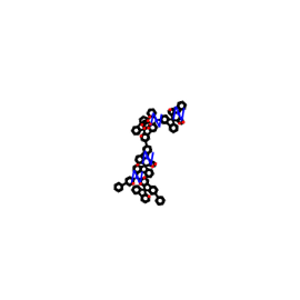 c1ccc(-c2ccc(N(c3ccc4c(c3)C3(c5ccccc5-c5ccccc53)c3cc(-c5ccccc5)ccc3-4)c3cccc4c3-c3ccccc3C43c4ccccc4-n4c5ccc(-c6ccc7c(c6)-c6ccc(N(c8ccc9c(c8)-c8ccccc8C98c9ccccc9-n9c%10ccccc%10c%10cccc8c%109)c8ccccc8-c8ccccc8)cc6C76c7ccccc7-c7ccccc76)cc5c5cccc3c54)cc2)cc1